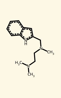 CN(C)CCN(C)Cc1cc2ccccc2[nH]1